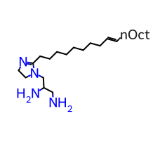 CCCCCCCCC=CCCCCCCCCC1=NCCN1CC(N)CN